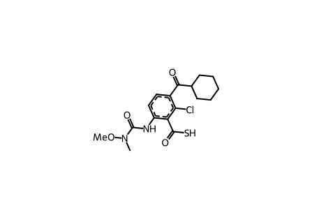 CON(C)C(=O)Nc1ccc(C(=O)C2CCCCC2)c(Cl)c1C(=O)S